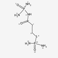 NP(N)(=O)NC(=O)CCSP(N)(N)=O